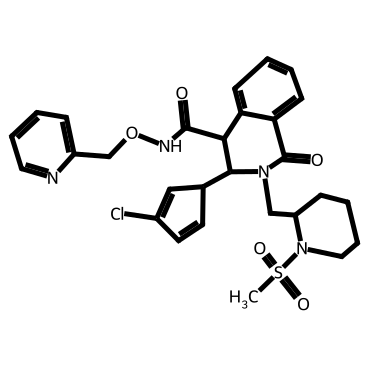 CS(=O)(=O)N1CCCCC1CN1C(=O)c2ccccc2C(C(=O)NOCc2ccccn2)C1C1C=CC(Cl)=C1